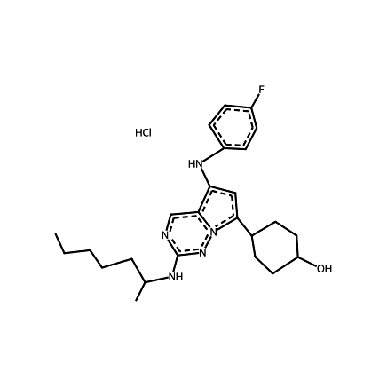 CCCCCC(C)Nc1ncc2c(Nc3ccc(F)cc3)cc(C3CCC(O)CC3)n2n1.Cl